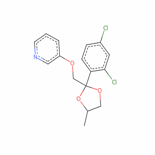 CC1COC(COc2cccnc2)(c2ccc(Cl)cc2Cl)O1